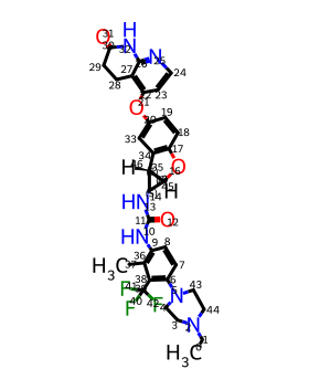 CCN1CCN(c2ccc(NC(=O)N[C@@H]3[C@H]4Oc5ccc(Oc6ccnc7c6CCC(=O)N7)cc5[C@@H]34)c(C)c2C(F)(F)F)CC1